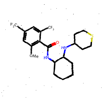 COc1cc(C(F)(F)F)cc(C(F)(F)F)c1C(=O)NC1CCCCC1NC1CCSCC1